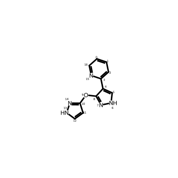 c1ccc(-c2c[nH]nc2Oc2cc[nH]n2)nc1